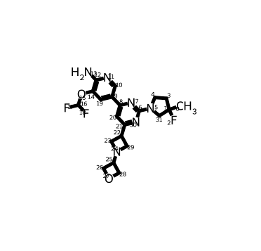 CC1(F)CCN(c2nc(-c3cnc(N)c(OC(F)F)c3)cc(C3CN(C4COC4)C3)n2)C1